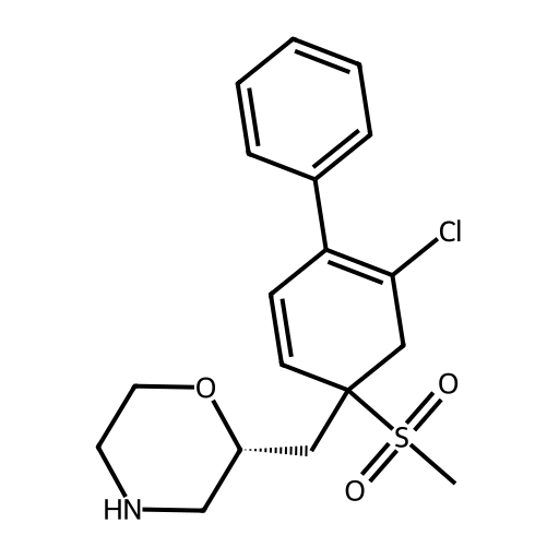 CS(=O)(=O)C1(C[C@@H]2CNCCO2)C=CC(c2ccccc2)=C(Cl)C1